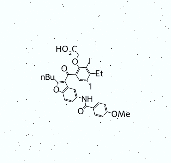 CCCCc1oc2ccc(NC(=O)c3ccc(OC)cc3)cc2c1C(=O)c1cc(I)c(CC)c(I)c1OCC(=O)O